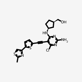 Cc1nc(-c2ccc(C#Cc3c(Cl)nc(N)nc3N[C@H]3CC[C@@H](CO)C3)s2)cs1